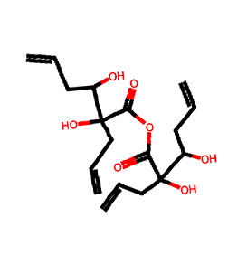 C=CCC(O)C(O)(CC=C)C(=O)OC(=O)C(O)(CC=C)C(O)CC=C